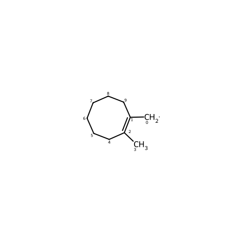 [CH2]/C1=C(\C)CCCCCC1